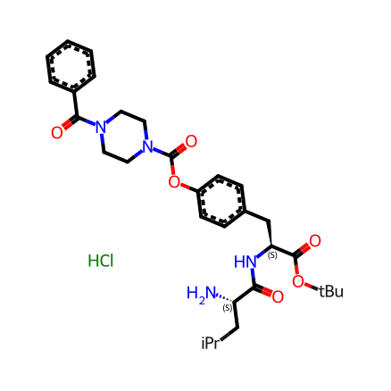 CC(C)C[C@H](N)C(=O)N[C@@H](Cc1ccc(OC(=O)N2CCN(C(=O)c3ccccc3)CC2)cc1)C(=O)OC(C)(C)C.Cl